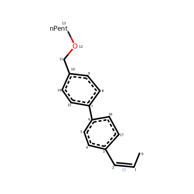 C/C=C\c1ccc(-c2ccc(COCCCCC)cc2)cc1